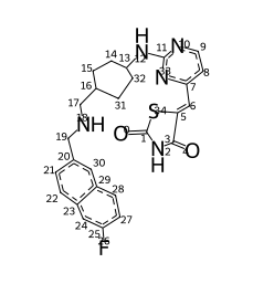 O=C1NC(=O)C(=Cc2ccnc(NC3CCC(CNCc4ccc5cc(F)ccc5c4)CC3)n2)S1